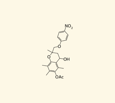 CC(=O)Oc1c(C)c(C)c2c(c1C)C(O)CC(C)(COc1ccc([N+](=O)[O-])cc1)O2